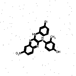 CCc1cccc(Nc2nc3cc([N+](=O)[O-])ccc3nc2Nc2ccc(O)cc2C)c1